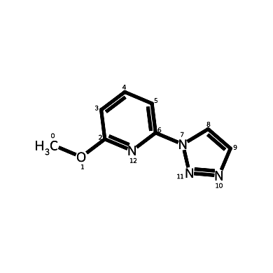 COc1cccc(-n2ccnn2)n1